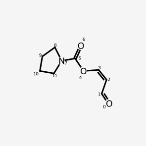 O=C/C=C\OC(=O)N1CCCC1